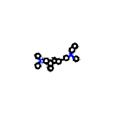 CC1(C)c2cc(-c3ccc(N(c4ccccc4)c4ccc5ccccc5c4)cc3)ccc2-c2c1c1ccc(N(c3ccccc3)c3ccccc3)cc1c1ccccc21